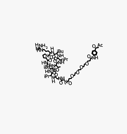 CCCC(NC(=O)C(NC(=O)C(NC(=O)C(NC(=O)CNC(=O)CN(C)C(=O)CCOCCOCCOCCOCCC(=O)Nc1ccc(C(=O)CC(C)=O)cc1)C(C)C)C(C)CC)C(C)O)C(=O)NC(C(=O)NC(CCCNC(=N)N)C(=O)N1CCCC1C(=O)NCC)C(C)CC